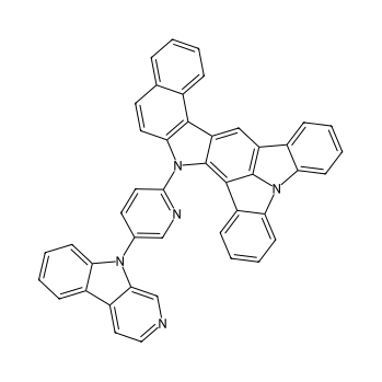 c1ccc2c(c1)ccc1c2c2cc3c4ccccc4n4c5ccccc5c(c2n1-c1ccc(-n2c5ccccc5c5ccncc52)cn1)c34